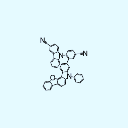 N#Cc1ccc(-n2c3ccccc3c3cc(C#N)ccc32)c(-c2ccc3c4c5oc6ccccc6c5ccc4n(-c4ccccc4)c3c2)c1